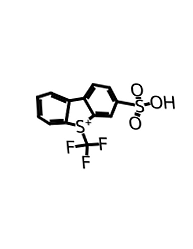 O=S(=O)(O)c1ccc2c3ccccc3[s+](C(F)(F)F)c2c1